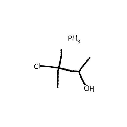 CC(O)C(C)(C)Cl.P